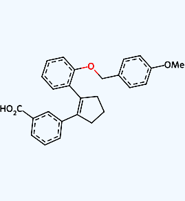 COc1ccc(COc2ccccc2C2=C(c3cccc(C(=O)O)c3)CCC2)cc1